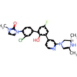 CC1=CN(c2cc(-c3cc(F)cc(-c4ccc(-n5ccn(C)c5=O)c(Cl)c4)c3O)ccn2)C[C@H](C)N1